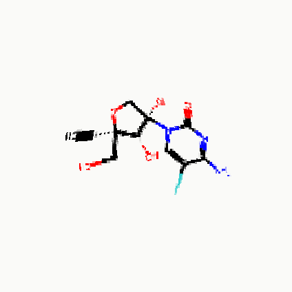 C#C[C@]1(CO)OC[C@@](O)(n2cc(F)c(N)nc2=O)[C@@H]1O